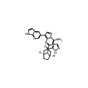 Nc1cc(C2C[C@H]3CC[C@@H](C2)N3C(=O)c2ncn[nH]2)nc2c(-c3cnc4[nH]ccc4c3)cnn12